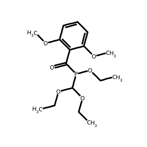 CCOC(OCC)P(OCC)C(=O)c1c(OC)cccc1OC